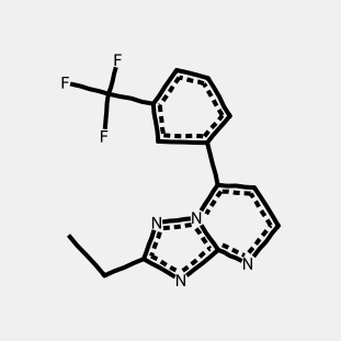 CCc1nc2nccc(-c3cccc(C(F)(F)F)c3)n2n1